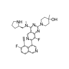 C#Cc1c(F)ccc2cncc(-c3ncc4c(N(C)C[C@H]5CCCN5)nc(N5CCC(C)(O)CC5)nc4c3F)c12